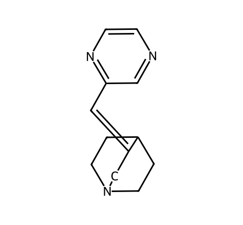 C(=C1CN2CCC1CC2)c1cnccn1